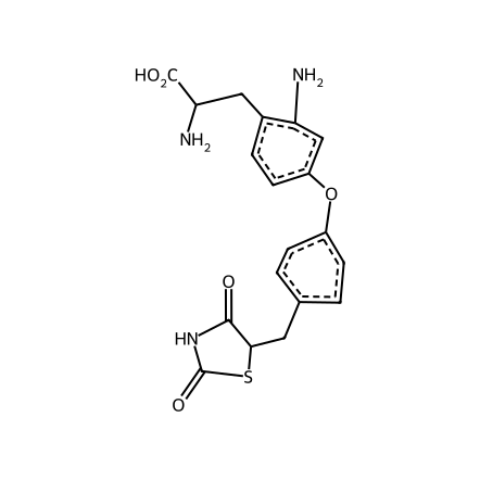 Nc1cc(Oc2ccc(CC3SC(=O)NC3=O)cc2)ccc1CC(N)C(=O)O